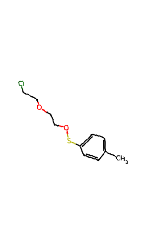 Cc1ccc(SOCCOCCCl)cc1